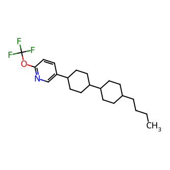 CCCCC1CCC(C2CCC(c3ccc(OC(F)(F)F)nc3)CC2)CC1